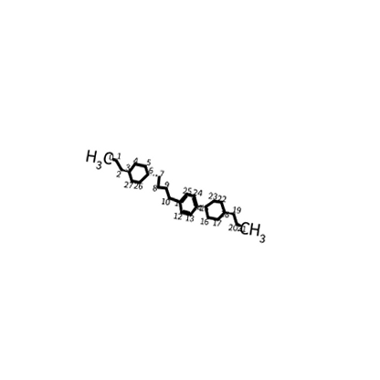 CCC[C@H]1CC[C@H](CCCCc2ccc([C@H]3CC[C@H](CCC)CC3)cc2)CC1